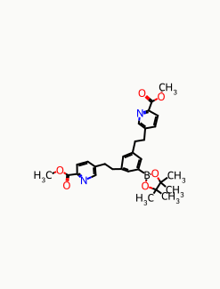 COC(=O)c1ccc(CCc2cc(CCc3ccc(C(=O)OC)nc3)cc(B3OC(C)(C)C(C)(C)O3)c2)cn1